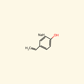 C=Cc1ccc(O)cc1.[NaH]